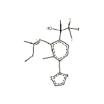 CC/C(C)=N\c1c(C(C)(O)C(F)(F)F)ccc(-c2nccs2)c1C